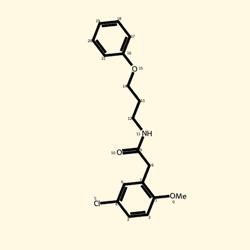 COc1ccc(Cl)cc1CC(=O)NCCCOc1ccccc1